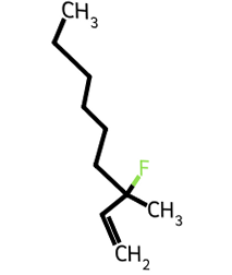 C=CC(C)(F)CCCCCC